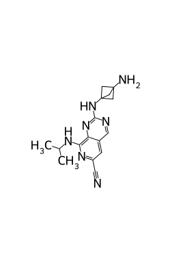 CC(C)Nc1nc(C#N)cc2cnc(NC34CC(N)(C3)C4)nc12